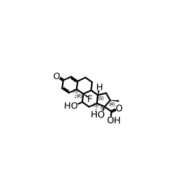 C[C@@H]1C[C@H]2C3CCC4=CC(=O)C=C[C@]4(C)[C@@]3(F)C(O)C[C@]2(C)[C@@]1(O)C(=O)O